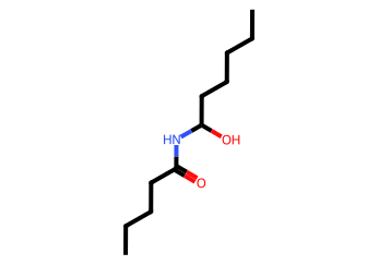 CCCCCC(O)NC(=O)CCCC